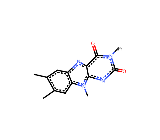 Cc1cc2nc3c(=O)n(C(C)C)c(=O)nc-3n(C)c2cc1C